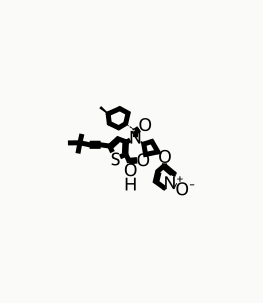 CC(C)(C)C#Cc1cc(N(C(=O)[C@H]2CC[C@H](C)CC2)[C@H]2C[C@H](Oc3ccc[n+]([O-])c3)C2)c(C(=O)O)s1